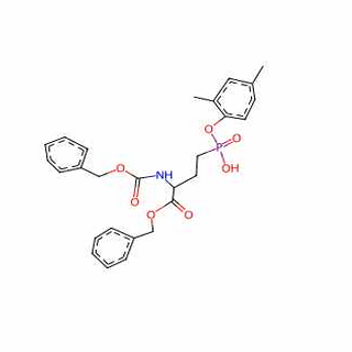 Cc1ccc(OP(=O)(O)CCC(NC(=O)OCc2ccccc2)C(=O)OCc2ccccc2)c(C)c1